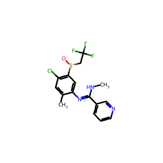 CN/C(=N\c1cc([S+]([O-])CC(F)(F)F)c(Cl)cc1C)c1cccnc1